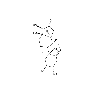 C[C@]12CC[C@H]3[C@@H](CC=C4C[C@H](O)[C@@H](O)C[C@@]43C)[C@@H]1C[C@@H](O)[C@@H]2O